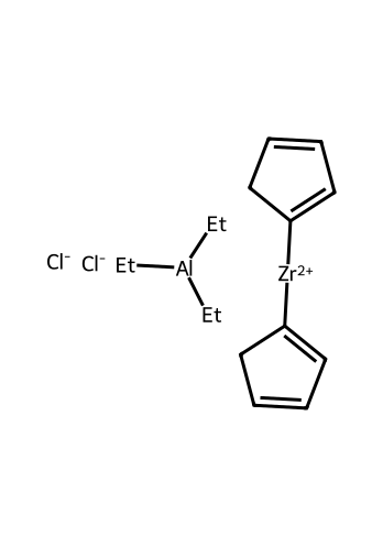 C1=CC[C]([Zr+2][C]2=CC=CC2)=C1.C[CH2][Al]([CH2]C)[CH2]C.[Cl-].[Cl-]